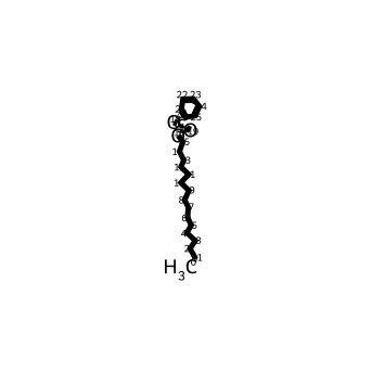 CCCCCCCCCCCCCCCCOS(=O)(=O)c1cc[c]cc1